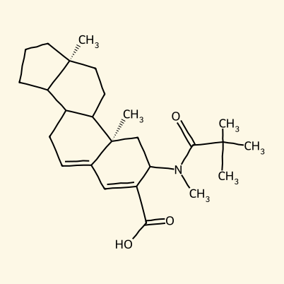 CN(C(=O)C(C)(C)C)C1C[C@@]2(C)C(=CCC3C4CCC[C@@]4(C)CCC32)C=C1C(=O)O